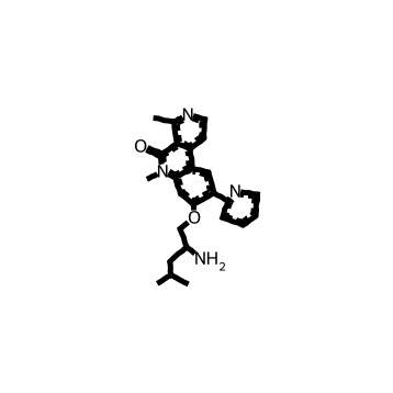 Cc1nccc2c1c(=O)n(C)c1cc(OCC(N)CC(C)C)c(-c3ccccn3)cc21